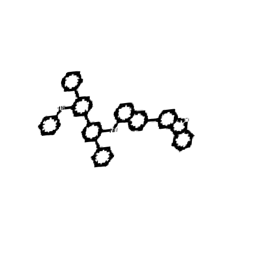 c1ccc(Nc2cc(-c3ccc(-c4ccccc4)c(Nc4cccc5cc(-c6ccc7oc8ccccc8c7c6)ccc45)c3)ccc2-c2ccccc2)cc1